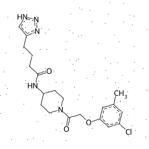 Cc1cc(Cl)cc(OCC(=O)N2CCC(NC(=O)CCCc3c[nH]nn3)CC2)c1